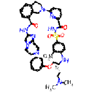 CN(C)CC[C@H](COc1ccccc1)Nc1ccc(S(=O)(=O)NC(=O)c2cccc(N3CCc4cccc(C(=O)Nc5cn6ccncc6n5)c4C3)n2)cc1[N+](=O)[O-]